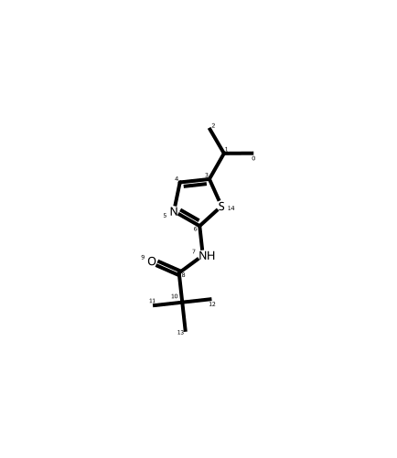 CC(C)c1cnc(NC(=O)C(C)(C)C)s1